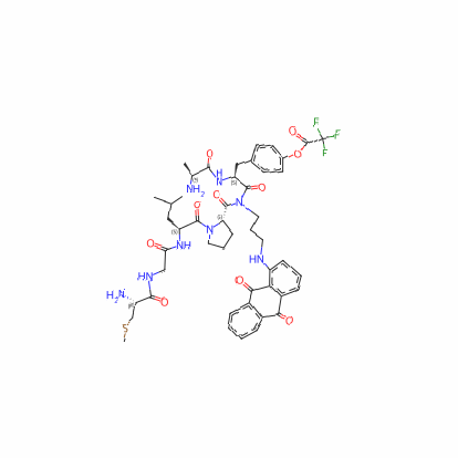 CSC[C@H](N)C(=O)NCC(=O)N[C@@H](CC(C)C)C(=O)N1CCC[C@H]1C(=O)N(CCCNc1cccc2c1C(=O)c1ccccc1C2=O)C(=O)[C@H](Cc1ccc(OC(=O)C(F)(F)F)cc1)NC(=O)[C@H](C)N